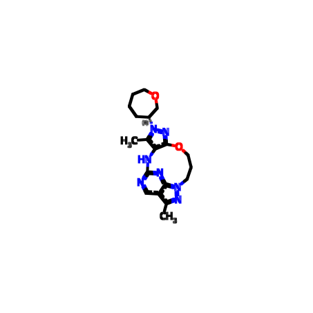 Cc1nn2c3nc(ncc13)Nc1c(nn([C@@H]3CCCCOC3)c1C)OCCC2